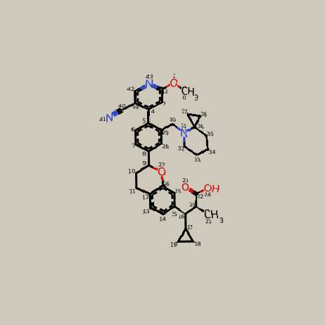 COc1cc(-c2ccc(C3CCc4ccc([C@H](C5CC5)[C@H](C)C(=O)O)cc4O3)cc2CN2CCCCC23CC3)c(C#N)cn1